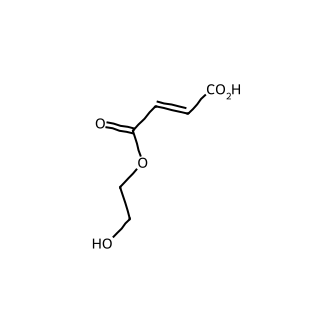 O=C(O)C=CC(=O)OCCO